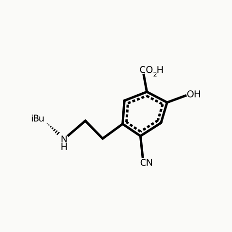 CC[C@@H](C)NCCc1cc(C(=O)O)c(O)cc1C#N